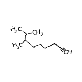 C#CCCCCC(C)C([CH2])C